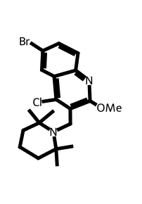 COc1nc2ccc(Br)cc2c(Cl)c1CN1C(C)(C)CCCC1(C)C